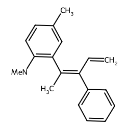 C=C/C(=C(/C)c1cc(C)ccc1NC)c1ccccc1